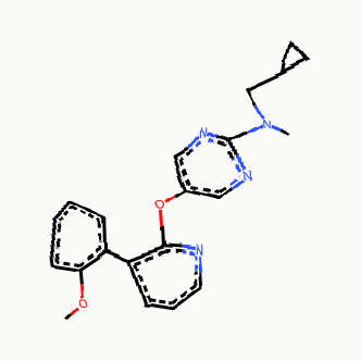 COc1ccccc1-c1cccnc1Oc1cnc(N(C)CC2CC2)nc1